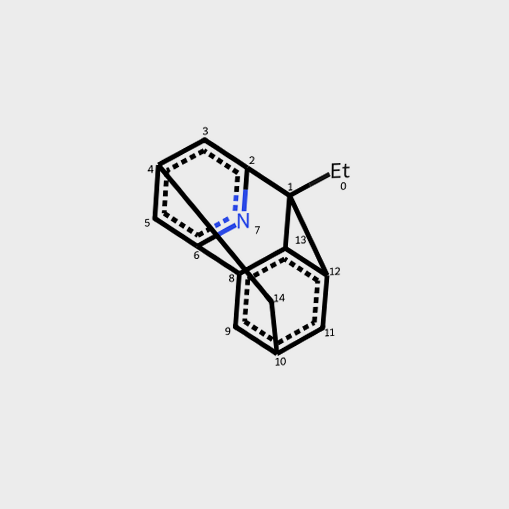 CCC12c3cc4cc(n3)-c3cc(cc1c32)C4